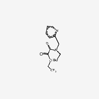 CCC(C)CN(Cc1ccccn1)C(=O)C(=O)OCC(F)(F)F